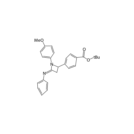 COc1ccc(N2/C(=N/c3ccccc3)CC2c2ccc(C(=O)OC(C)(C)C)cc2)cc1